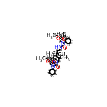 CCO[Si](C)(CN(C(=O)NCCC(C)(C)CC(C)CNC(=O)N(C[Si](C)(OCC)OCC)C1CCCCC1)C1CCCCC1)OCC